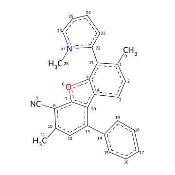 Cc1ccc2c(oc3c(C#N)c(C)cc(-c4ccccc4)c32)c1-c1cccc[n+]1C